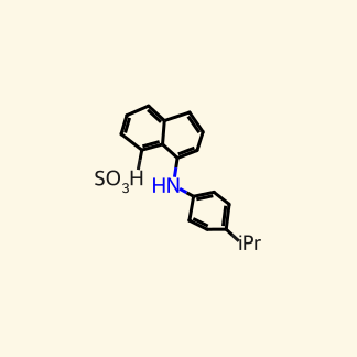 CC(C)c1ccc(Nc2cccc3cccc(S(=O)(=O)O)c23)cc1